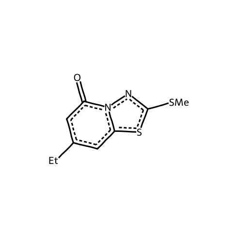 CCc1cc(=O)n2nc(SC)sc2c1